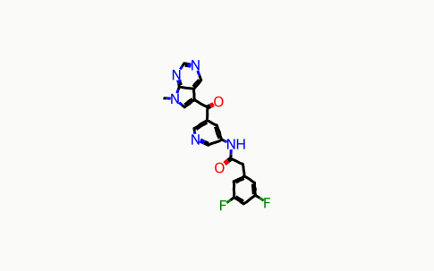 Cn1cc(C(=O)c2cncc(NC(=O)Cc3cc(F)cc(F)c3)c2)c2cncnc21